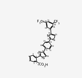 O=C(O)c1ccccc1-c1nc(-c2ccc(-c3nc(-c4cc(C(F)(F)F)cc(C(F)(F)F)c4)cs3)cc2)cs1